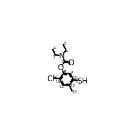 CCN(CC)C(=O)Oc1cc(S)c(C)cc1Cl